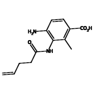 C=CCCC(=O)Nc1c(N)ccc(C(=O)O)c1C